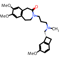 COc1ccc2c(c1)[C@H](CN(C)CCCN1CCc3cc(OC)c(OC)cc3CC1=O)C2